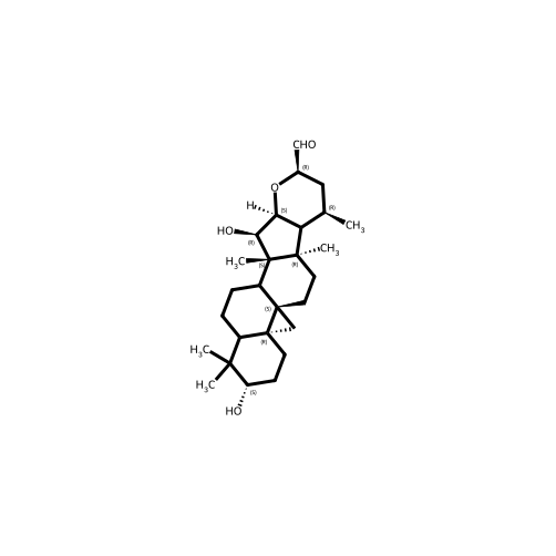 C[C@@H]1C[C@H](C=O)O[C@H]2C1[C@@]1(C)CC[C@@]34C[C@@]35CC[C@H](O)C(C)(C)C5CCC4[C@]1(C)[C@H]2O